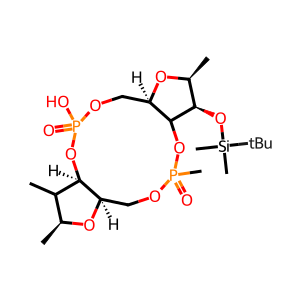 CC1[C@H](C)O[C@@H]2COP(C)(=O)OC3[C@@H](COP(=O)(O)O[C@H]12)O[C@@H](C)[C@H]3O[Si](C)(C)C(C)(C)C